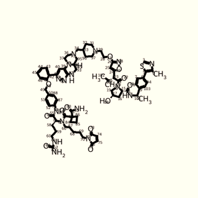 Cc1ncsc1-c1ccc([C@H](C)NC(=O)[C@@H]2C[C@@H](O)CN2C(=O)[C@@H](c2cc(OCCN3CCC(CN4CCN5c6cc(-c7ccccc7OCc7ccc(NC(=O)[C@H](CCCNC(N)=O)N(CCCCCN8C(=O)C=CC8=O)C(=O)C8(C(N)=O)CCC8)cc7)nnc6NC[C@H]5C4)CC3)no2)C(C)C)cc1